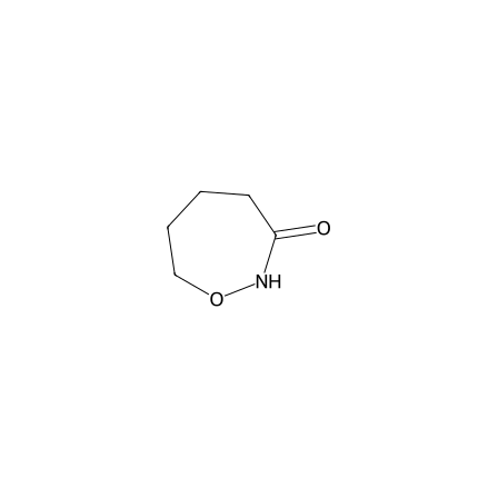 O=C1CCCCON1